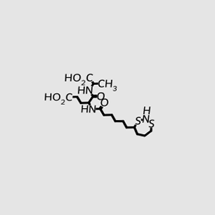 CC(NC(=O)C(CCC(=O)O)NC(=O)CCCCCC1CCCSNS1)C(=O)O